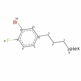 CCCCCCCCCc1ccc(F)c(Br)c1